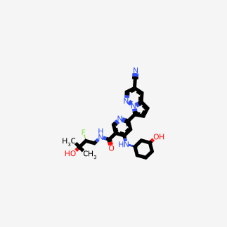 CC(C)(O)[C@H](F)CNC(=O)c1cnc(-c2ccc3cc(C#N)cnn23)cc1N[C@@H]1CCCC(O)C1